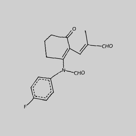 C/C(C=O)=C\C1=C(N(C=O)c2ccc(F)cc2)CCCC1=O